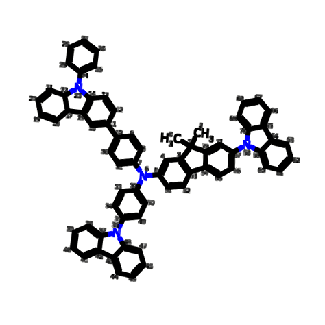 CC1(C)c2cc(N(c3ccc(-c4ccc5c(c4)C4C=CC=CC4N5c4ccccc4)cc3)c3ccc(-n4c5ccccc5c5ccccc54)cc3)ccc2-c2ccc(-n3c4ccccc4c4ccccc43)cc21